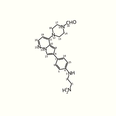 NCCNc1ccc(-c2cc3c(N4CCN(C=O)CC4)ccnn3c2)cc1